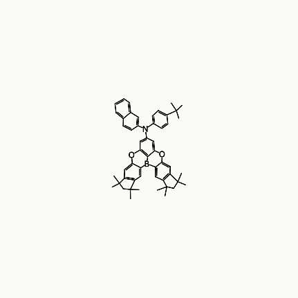 CC(C)(C)c1ccc(N(c2cc3c4c(c2)Oc2cc5c(cc2B4c2cc4c(cc2O3)C(C)(C)CC4(C)C)C(C)(C)CC5(C)C)c2ccc3ccccc3c2)cc1